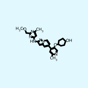 COCc1nc(C)cc(Nc2cc3cc(-c4cc(C)ncc4OC4CCC(O)CC4)ccn3n2)n1